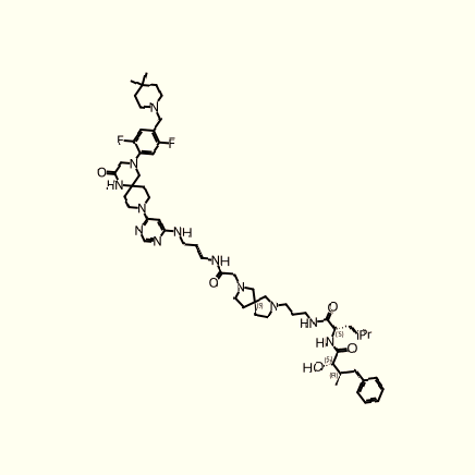 CC(C)C[C@H](NC(=O)[C@@H](O)[C@H](C)Cc1ccccc1)C(=O)NCCCN1CC[C@]2(CCN(CC(=O)NCCCNc3cc(N4CCC5(CC4)CN(c4cc(F)c(CN6CCC(C)(C)CC6)cc4F)CC(=O)N5)ncn3)C2)C1